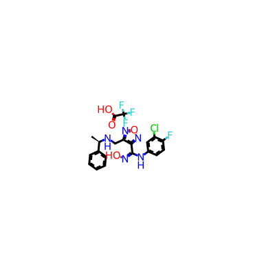 C[C@@H](NCc1nonc1/C(=N\O)Nc1ccc(F)c(Cl)c1)c1ccccc1.O=C(O)C(F)(F)F